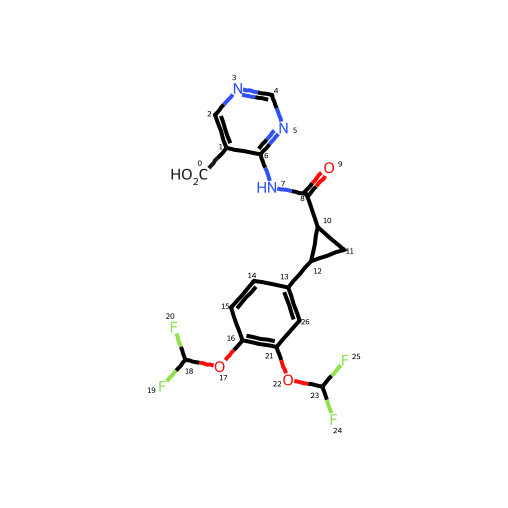 O=C(O)c1cncnc1NC(=O)C1CC1c1ccc(OC(F)F)c(OC(F)F)c1